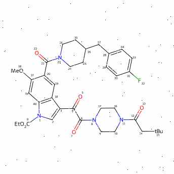 CCOC(=O)n1cc(C(=O)C(=O)N2CCN(C(=O)CC(C)(C)C)CC2)c2cc(C(=O)N3CCC(Cc4ccc(F)cc4)CC3)c(OC)cc21